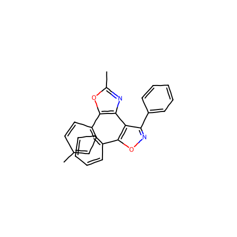 Cc1ccc(-c2oc(C)nc2-c2c(-c3ccccc3)noc2-c2ccccc2)cc1